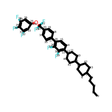 CCCCCC1CCC(C2CCC(c3ccc(-c4ccc(C(F)(F)Oc5cc(F)c(F)c(F)c5)cc4)c(F)c3F)CC2)CC1